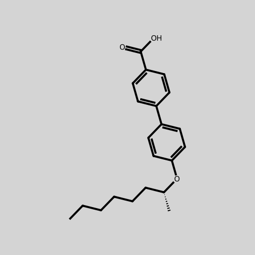 CCCCCC[C@@H](C)Oc1ccc(-c2ccc(C(=O)O)cc2)cc1